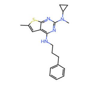 Cc1cc2c(NCCCc3ccccc3)nc(N(C)C3CC3)nc2s1